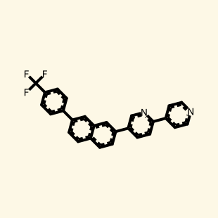 FC(F)(F)c1ccc(-c2ccc3ccc(-c4ccc(-c5ccncc5)nc4)cc3c2)cc1